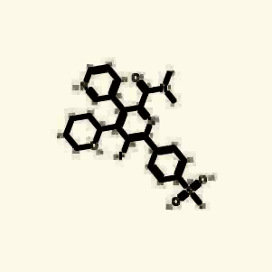 CN(C)C(=O)c1nc(-c2ccc(S(C)(=O)=O)cc2)c(F)c(C2CCCCO2)c1-c1cccnc1